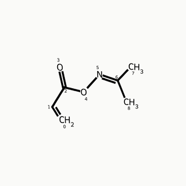 C=CC(=O)ON=C(C)C